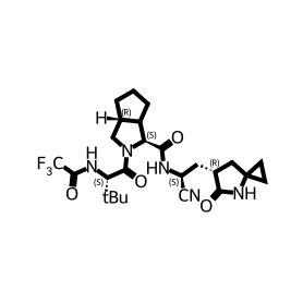 CC(C)(C)[C@H](NC(=O)C(F)(F)F)C(=O)N1C[C@@H]2CCCC2[C@H]1C(=O)N[C@H](C#N)C[C@@H]1CC2(CC2)NC1=O